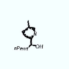 CCCCCC(O)c1ccc(C)cn1